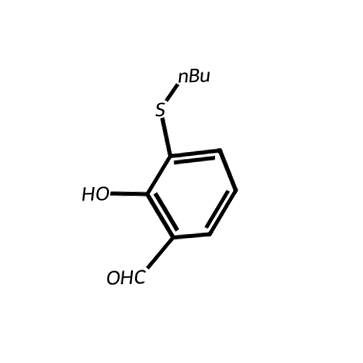 CCCCSc1cccc(C=O)c1O